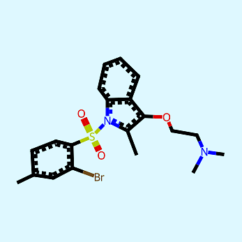 Cc1ccc(S(=O)(=O)n2c(C)c(OCCN(C)C)c3ccccc32)c(Br)c1